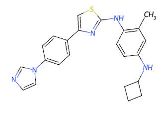 Cc1cc(NC2CCC2)ccc1Nc1nc(-c2ccc(-n3ccnc3)cc2)cs1